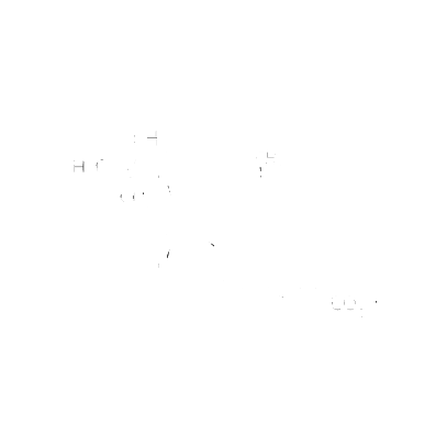 C[C@@H](CCc1ccccc1)CC[C@@H]1[C@@H](C/C=C\CCCC(=O)O)[C@@H](C)C[C@H]1O[Si](C)(C)C